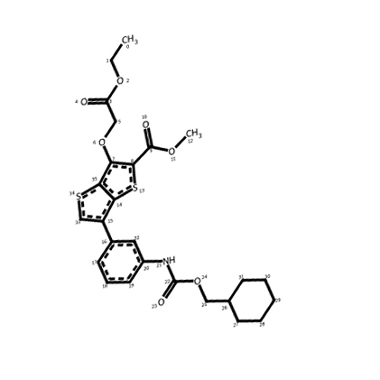 CCOC(=O)COc1c(C(=O)OC)sc2c(-c3cccc(NC(=O)OCC4CCCCC4)c3)csc12